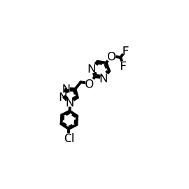 FC(F)Oc1cnc(OCc2cn(-c3ccc(Cl)cc3)nn2)nc1